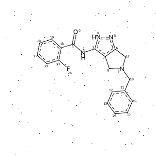 O=C(Nc1[nH]nc2c1CN(Cc1ccccc1)C2)c1ccccc1F